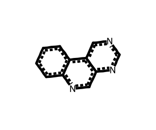 c1ccc2c(c1)ncc1ncncc12